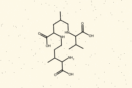 CC(CNC(C(=O)O)C(C)C)CC(NCCC(C)C(N)C(=O)O)C(=O)O